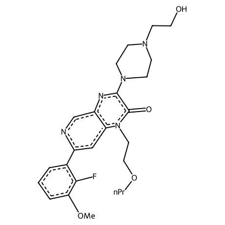 CCCOCCn1c(=O)c(N2CCN(CCO)CC2)nc2cnc(-c3cccc(OC)c3F)cc21